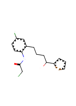 O=C(CCl)Nc1ccc(Br)cc1CCCC(O)c1cccs1